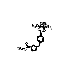 CC(C)(C)OC(=O)N1CCC(Cc2ccc(B3OC(C)(C)C(C)(C)O3)cc2)C1